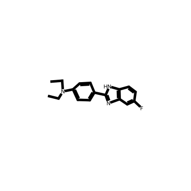 CCN(CC)c1ccc(-c2nc3cc(F)ccc3[nH]2)cc1